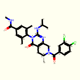 CNC(=O)c1cc(C)c(-n2c(NC(C)C)nc3c(c2=O)C[C@@H](C)N(C(=O)c2ccc(Cl)c(Cl)c2)C3)c(C)c1